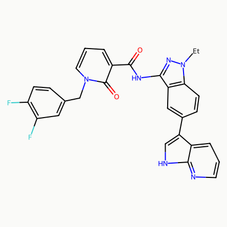 CCn1nc(NC(=O)c2cccn(Cc3ccc(F)c(F)c3)c2=O)c2cc(-c3c[nH]c4ncccc34)ccc21